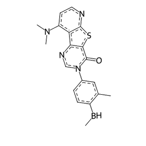 CBc1ccc(-n2cnc3c(sc4nccc(N(C)C)c43)c2=O)cc1C